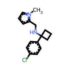 Cn1cccc1CNC1(c2ccc(Cl)cc2)CCC1